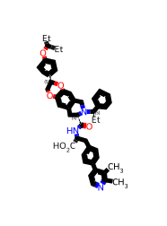 CCC(CC)Oc1ccc([C@H]2COc3cc4c(cc3O2)CN([C@@H](CC)c2ccccc2)[C@H](C(=O)NC(Cc2ccc(-c3ccnc(C)c3C)cc2)C(=O)O)C4)cc1